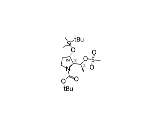 C[C@H](OS(C)(=O)=O)[C@@H]1[C@@H](O[Si](C)(C)C(C)(C)C)CCN1C(=O)OC(C)(C)C